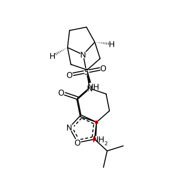 CC(C)c1cc(C(=O)N[C@H]2C[C@H]3CC[C@@H](C2)N3S(=O)(=O)N2CCC(N)CC2)no1